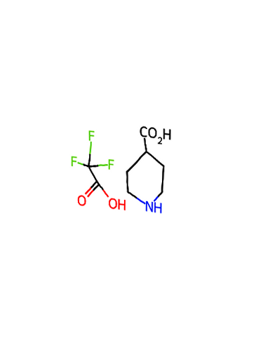 O=C(O)C(F)(F)F.O=C(O)C1CCNCC1